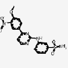 COc1ccc(-c2ccnc(Nc3cccc(S(N)(=O)=O)c3)n2)cc1[N+](=O)[O-]